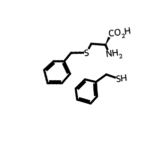 N[C@@H](CSCc1ccccc1)C(=O)O.SCc1ccccc1